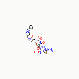 Nc1nc(/C(=N/O)C(=O)N[C@@H]2C(=O)N3C(C(=O)[O-])=C(/C=C4\CCN(Cc5cc[n+](Cc6ccccc6)cc5)C4=O)CS[C@H]23)cs1